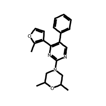 Cc1occc1-c1nc(N2CC(C)OC(C)C2)ncc1-c1ccccc1